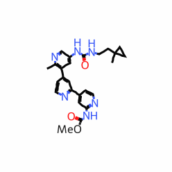 COC(=O)Nc1cc(-c2cc(-c3cc(NC(=O)NCCC4(C)CC4)cnc3C)ccn2)ccn1